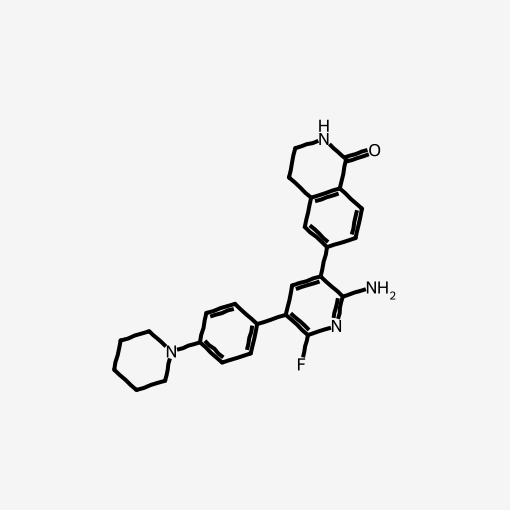 Nc1nc(F)c(-c2ccc(N3CCCCC3)cc2)cc1-c1ccc2c(c1)CCNC2=O